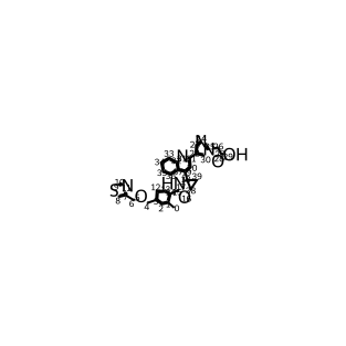 Cc1cc(COCc2cscn2)ccc1C(=O)NC1(c2cc(-c3cnn(CC(=O)O)c3)nc3ccccc23)CC1